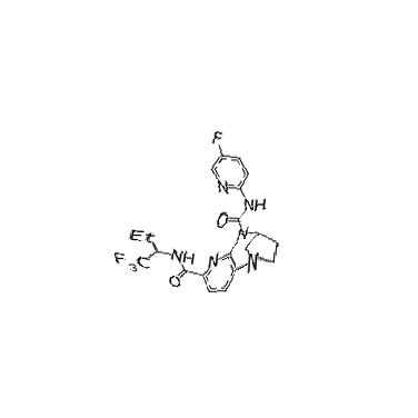 CCC(NC(=O)c1ccc2c(n1)N(C(=O)Nc1ccc(F)cn1)C1CCN2C1)C(F)(F)F